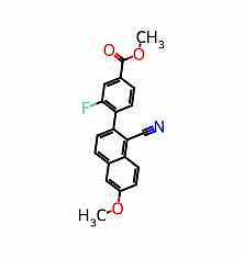 COC(=O)c1ccc(-c2ccc3cc(OC)ccc3c2C#N)c(F)c1